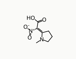 CN1CCCC1=C(C(=O)O)[N+](=O)[O-]